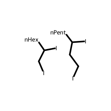 CCCCCC(I)CCI.CCCCCCC(I)CI